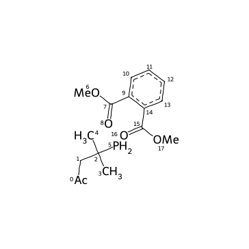 CC(=O)CC(C)(C)P.COC(=O)c1ccccc1C(=O)OC